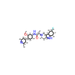 COc1cc(NC(=O)C(C)N2CCc3[nH]c4ccc(F)cc4c3C2)ccc1-c1ccnc(C)c1